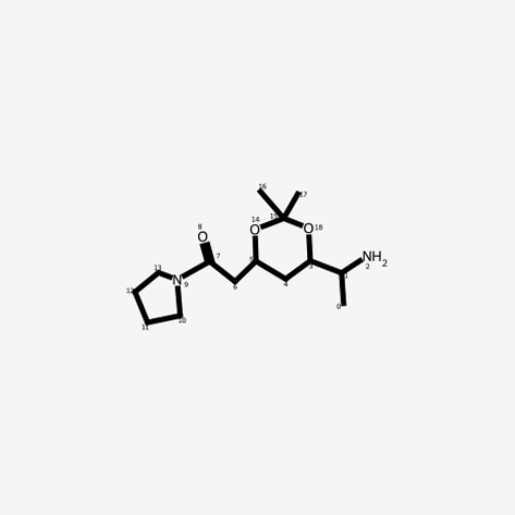 CC(N)C1CC(CC(=O)N2CCCC2)OC(C)(C)O1